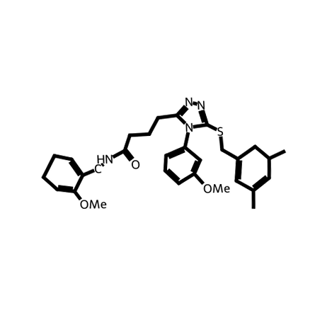 COC1=CCCC=C1CNC(=O)CCCc1nnc(SCC2=CC(C)=CC(C)C2)n1-c1cccc(OC)c1